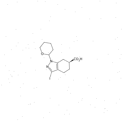 O=C(O)[C@H]1CCc2c(I)nn(C3CCCCO3)c2C1